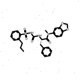 CCCc1ccccc1S(=O)(=O)NC(=O)N[C@@H](Cc1ccccc1)C(=O)N(C)c1ccc2c(c1)OCO2